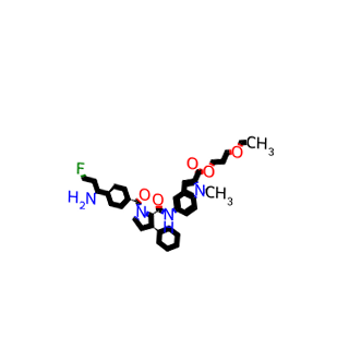 CCOCCCOC(=O)c1cc2cc(NC(=O)[C@@H]3[C@H](C4CCCCC4)CCN3C(=O)[C@H]3CC[C@H]([C@H](N)CCF)CC3)ccc2n1C